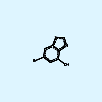 Oc1cc(Br)cc2scnc12